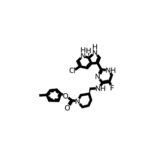 Cc1ccc(OC(=O)N2CCC[C@H](CNC3=C(F)CNC(C4=CN[C@@H]5NC=C(Cl)C=C45)=N3)C2)cc1